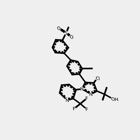 Cc1cc(-c2cccc(S(C)(=O)=O)c2)ccc1-c1c(Cl)c(C(C)(C)O)nn1-c1cccnc1C(F)(F)F